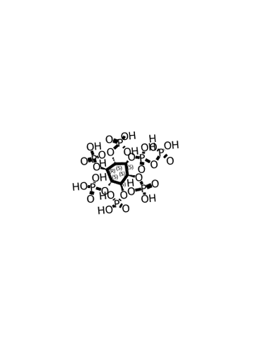 O=P(O)(O)O[C@@H]1[C@@H](OP(=O)(O)O)[C@H](OP(=O)(O)O)[C@@H](OP(=O)(O)OP(=O)(O)O)[C@@H](OP(=O)(O)O)[C@H]1OP(=O)(O)O